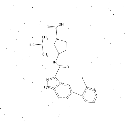 CC(C)(C)C1C(NC(=O)c2n[nH]c3ccc(-c4cccnc4F)cc23)CCN1C(=O)O